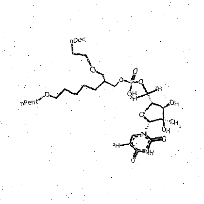 [2H]c1cn([C@@H]2O[C@H](C([2H])([2H])OP(=O)(O)OCC(CCCCCOCCCCC)COCCCCCCCCCCCC)[C@@H](O)[C@@]2(C)O)c(=O)[nH]c1=O